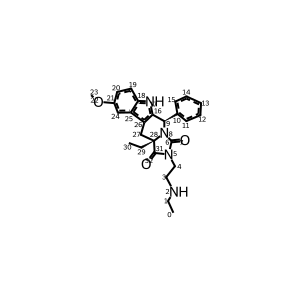 CCNCCN1C(=O)N2[C@H](c3ccccc3)c3[nH]c4ccc(OC)cc4c3C[C@@]2(CC)C1=O